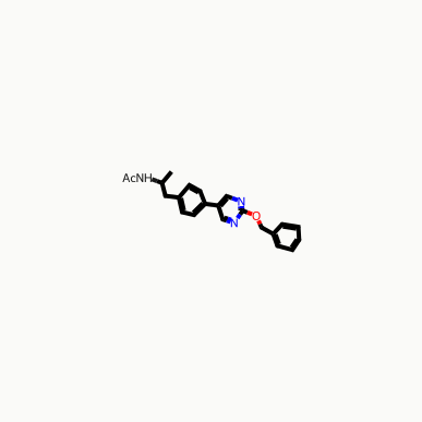 CC(=O)NC(C)Cc1ccc(-c2cnc(OCc3ccccc3)nc2)cc1